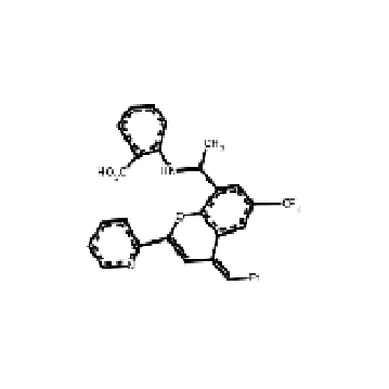 CC/C=C1/C=C(c2ccccn2)Oc2c1cc(C(F)(F)F)cc2C(C)Nc1ccccc1C(=O)O